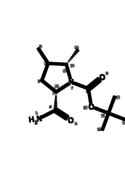 CC1C[C@@H](C(N)=O)N(C(=O)OC(C)(C)C)[C@H]1C